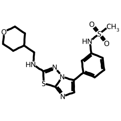 CS(=O)(=O)Nc1cccc(-c2cnc3sc(NCC4CCOCC4)nn23)c1